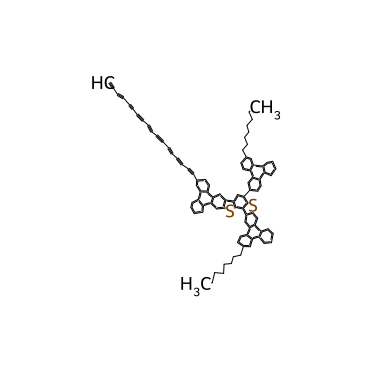 C#CC#CC#CC#CC#CC#CC#CC#CC#Cc1ccc2c(c1)c1ccccc1c1cc3sc4c(cc(-c5ccc6c7ccccc7c7cc(CCCCCCCC)ccc7c6c5)c5sc6cc7c8ccccc8c8cc(CCCCCCCC)ccc8c7cc6c54)c3cc21